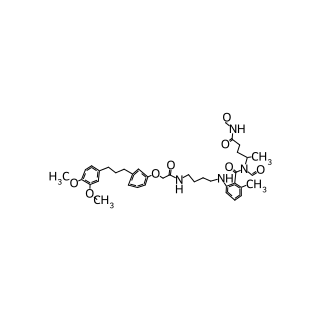 COc1ccc(CCCc2cccc(OCC(=O)NCCCCNc3cccc(C)c3C(=O)N(C=O)C(C)CCC(=O)NC=O)c2)cc1OC